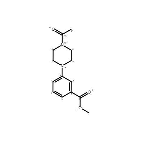 COC(=O)c1cccc(N2CCN(C(C)=O)CC2)c1